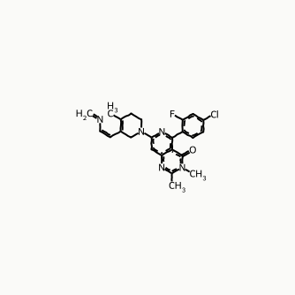 C=N/C=C\C1=C(C)CCN(c2cc3nc(C)n(C)c(=O)c3c(-c3ccc(Cl)cc3F)n2)C1